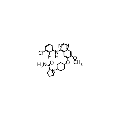 COc1cc2ncnc(Nc3cccc(Cl)c3F)c2cc1OC1CCC(N2CCCC2C(N)=O)CC1